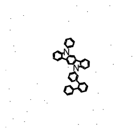 c1ccc(-c2ccccc2-c2cccc(-n3c4ccccc4c4cc5c(cc43)c3ccccc3n5-c3ccccc3)c2)cc1